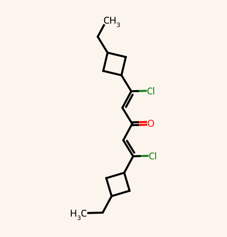 CCC1CC(C(Cl)=CC(=O)C=C(Cl)C2CC(CC)C2)C1